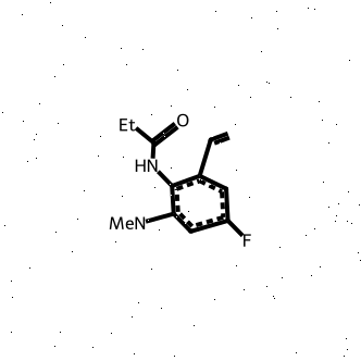 C=Cc1cc(F)cc(NC)c1NC(=O)CC